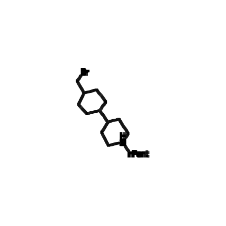 CCCCC[SiH]1CCC(C2CCC(CBr)CC2)CC1